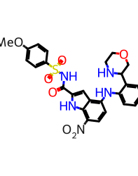 COc1ccc(S(=O)(=O)NC(=O)c2cc3c(Nc4ccccc4C4COCCN4)ccc([N+](=O)[O-])c3[nH]2)cc1